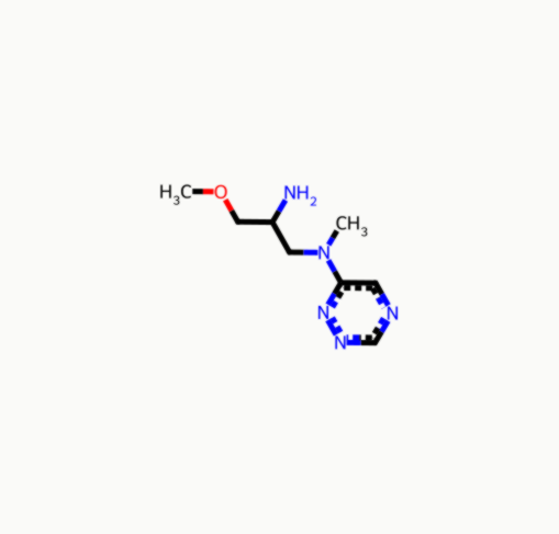 COCC(N)CN(C)c1cncnn1